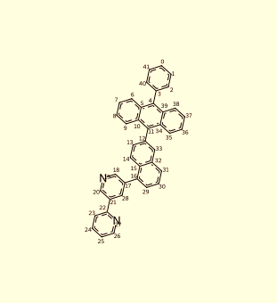 c1ccc(-c2c3ccccc3c(-c3ccc4c(-c5cncc(-c6ccccn6)c5)cccc4c3)c3ccccc23)cc1